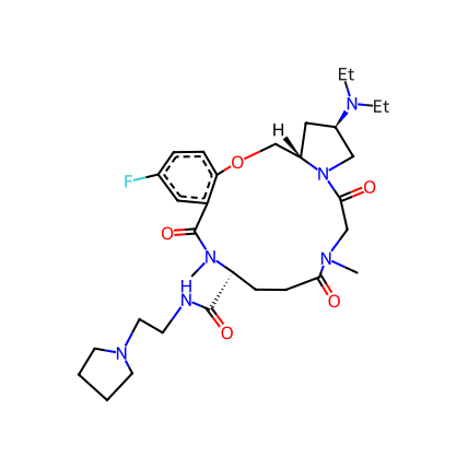 CCN(CC)[C@@H]1C[C@H]2COc3ccc(F)cc3C(=O)N(C)[C@@H](C(=O)NCCN3CCCC3)CCC(=O)N(C)CC(=O)N2C1